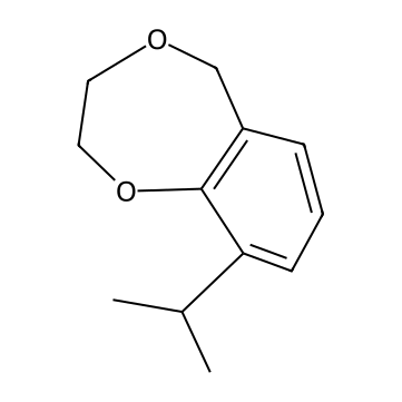 CC(C)c1cccc2c1OCCOC2